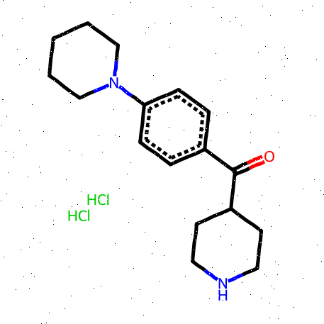 Cl.Cl.O=C(c1ccc(N2CCCCC2)cc1)C1CCNCC1